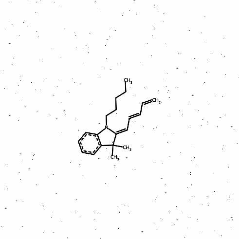 C=CC=CC=C1N(CCCCC)c2ccccc2C1(C)C